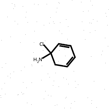 NC1(Cl)C=CC=CC1